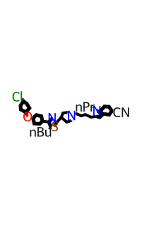 CCCCc1sc(C2CCN(CCCCc3cc4cc(C#N)ccc4n3CCC)CC2)nc1-c1ccc(Oc2ccc(Cl)cc2)cc1